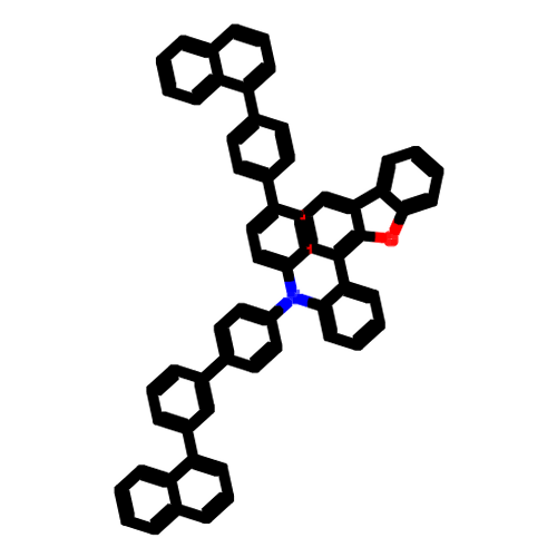 c1cc(-c2ccc(N(c3ccc(-c4ccc(-c5cccc6ccccc56)cc4)cc3)c3ccccc3-c3cccc4c3oc3ccccc34)cc2)cc(-c2cccc3ccccc23)c1